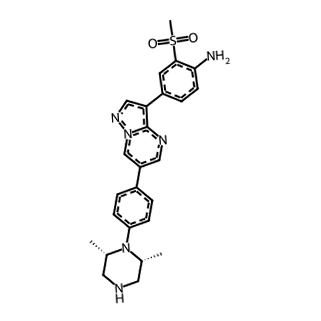 C[C@@H]1CNC[C@H](C)N1c1ccc(-c2cnc3c(-c4ccc(N)c(S(C)(=O)=O)c4)cnn3c2)cc1